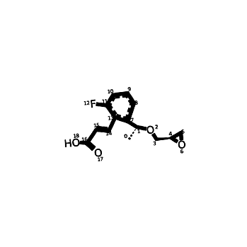 C[C@@H](OC[C@H]1CO1)c1cccc(F)c1C=CC(=O)O